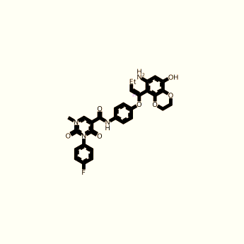 CC/C=C(/Oc1ccc(NC(=O)c2cn(C)c(=O)n(-c3ccc(F)cc3)c2=O)cc1)c1c(N)cc(O)c2c1OCCO2